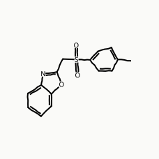 Cc1ccc(S(=O)(=O)Cc2nc3ccccc3o2)cc1